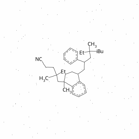 CCC(C)C(C)(CC)CC(CC1CCC(C)(CC(C)(CC)CCC#N)c2ccccc21)c1ccccc1